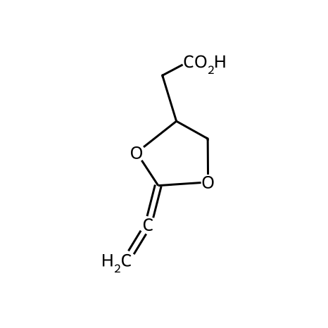 C=C=C1OCC(CC(=O)O)O1